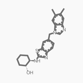 Cc1cc2ncn(Cc3ccc4nc(N[C@@H]5CCCC[C@H]5O)sc4c3)c2cc1C